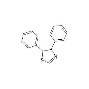 C1=NC(c2ccccc2)C(c2ccccc2)S1